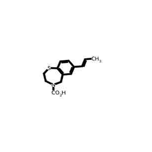 C/C=C/c1ccc2c(c1)CN(C(=O)O)CCS2